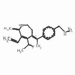 C=CC1=C(C(C)F)/C(=C(\C)c2ccc(CNCC)cc2)CCNC1=C